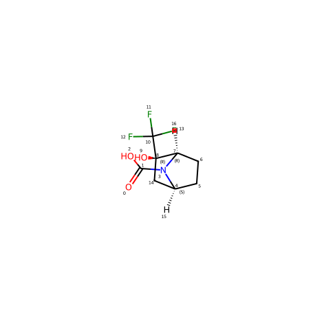 O=C(O)N1[C@H]2CC[C@@H]1[C@@](O)(C(F)(F)F)C2